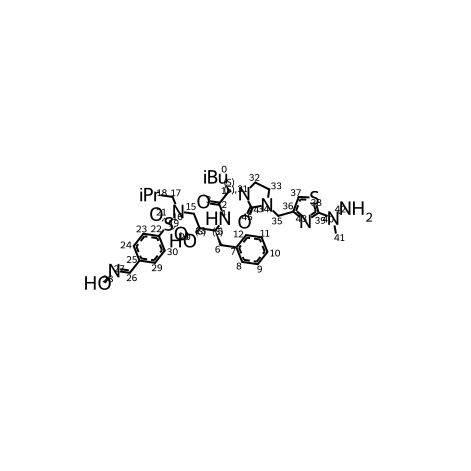 CC[C@H](C)[C@@H](C(=O)N[C@@H](Cc1ccccc1)[C@@H](O)CN(CC(C)C)S(=O)(=O)c1ccc(C=NO)cc1)N1CCN(Cc2csc(N(C)N)n2)C1=O